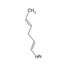 C[CH]CC=CCC=CC